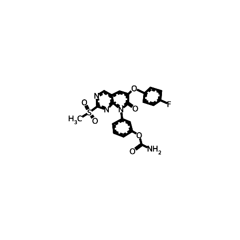 CS(=O)(=O)c1ncc2cc(Oc3ccc(F)cc3)c(=O)n(-c3cccc(OC(N)=O)c3)c2n1